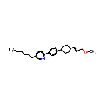 CCCCCCc1ccc(-c2ccc(C3CCC(/C=C/COC)CC3)cc2)nc1